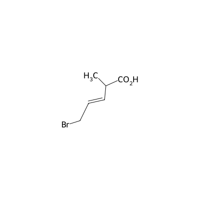 CC(C=CCBr)C(=O)O